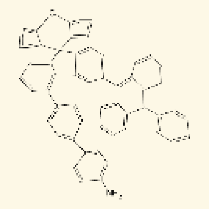 Nc1ccc(-c2ccc(-c3cccc4c3-c3cc(-c5c6ccccc6c(-c6ccccc6)c6ccccc56)ccc3C43c4ccccc4Oc4ccccc43)cc2)cc1